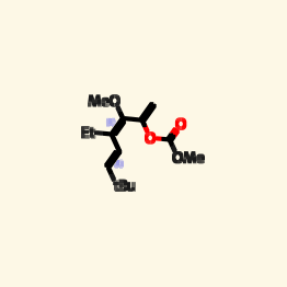 C=C(OC(=O)OC)/C(OC)=C(\C=C\C(C)(C)C)CC